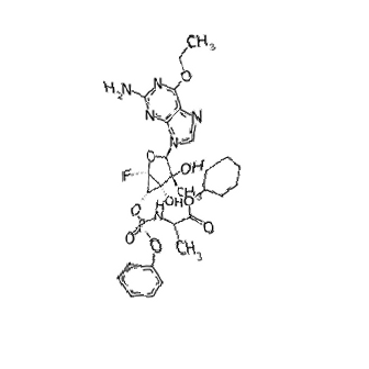 CCOc1nc(N)nc2c1ncn2[C@@H]1O[C@]2(F)[C@@H](OP(=O)(NC(C)C(=O)OC3CCCCC3)Oc3ccccc3)[C@]2(O)[C@@]1(C)O